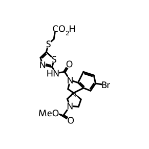 COC(=O)N1CC[C@@]2(C1)CN(C(=O)Nc1ncc(SCC(=O)O)s1)c1ccc(Br)cc12